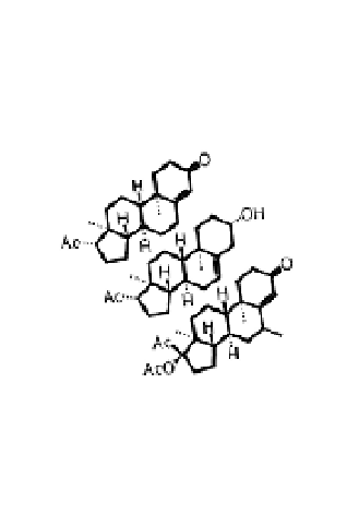 CC(=O)O[C@]1(C(C)=O)CC[C@H]2[C@@H]3C[C@H](C)C4=CC(=O)CC[C@]4(C)[C@H]3CC[C@@]21C.CC(=O)[C@H]1CC[C@H]2[C@@H]3CC=C4C[C@@H](O)CC[C@]4(C)[C@H]3CC[C@]12C.CC(=O)[C@H]1CC[C@H]2[C@@H]3CCC4=CC(=O)CC[C@]4(C)[C@H]3CC[C@]12C